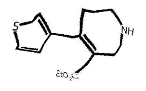 CCOC(=O)C1=C(c2ccsc2)CCNC1